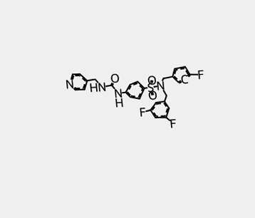 O=C(NCc1ccncc1)Nc1ccc(S(=O)(=O)N(Cc2ccc(F)cc2)Cc2cc(F)cc(F)c2)cc1